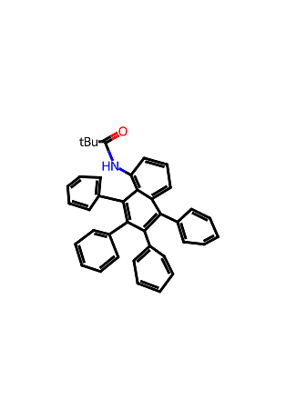 CC(C)(C)C(=O)Nc1cccc2c(-c3ccccc3)c(-c3ccccc3)c(-c3ccccc3)c(-c3ccccc3)c12